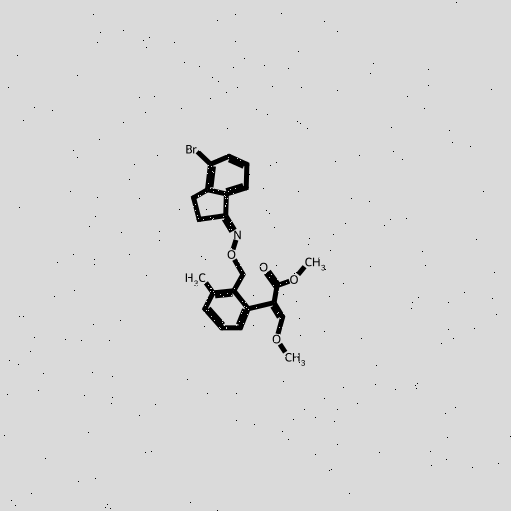 CO/C=C(/C(=O)OC)c1cccc(C)c1CO/N=C1\CCc2c(Br)cccc21